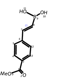 COC(=O)c1ccc(/C=C/B(O)O)cc1